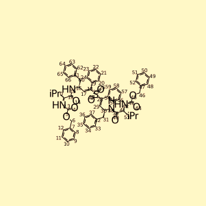 CC(C)[C@H](NC(=O)OCc1ccccc1)C(=O)N[C@H](C=C(c1ccccc1)S(=O)(=O)C(=C[C@H](Cc1ccccc1)NC(=O)[C@@H](NC(=O)OCc1ccccc1)C(C)C)c1ccccc1)Cc1ccccc1